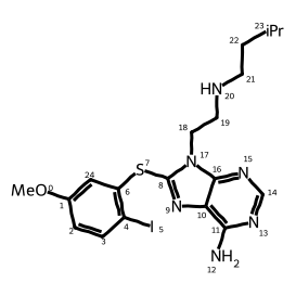 COc1ccc(I)c(Sc2nc3c(N)ncnc3n2CCNCCC(C)C)c1